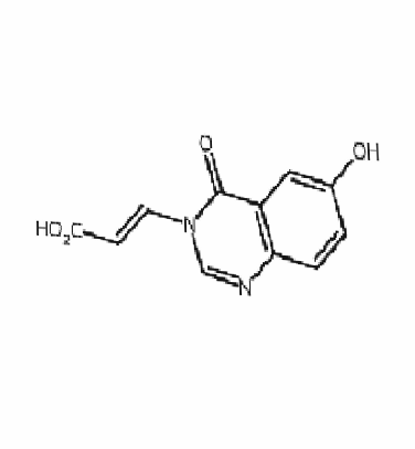 O=C(O)/C=C/n1cnc2ccc(O)cc2c1=O